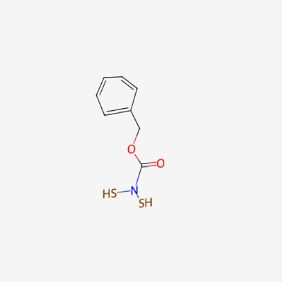 O=C(OCc1ccccc1)N(S)S